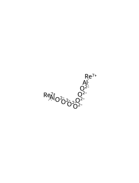 [Al].[Al].[O-2].[O-2].[O-2].[O-2].[O-2].[O-2].[O-2].[Re+7].[Re+7]